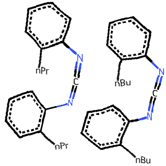 CCCCc1ccccc1N=C=Nc1ccccc1CCCC.CCCc1ccccc1N=C=Nc1ccccc1CCC